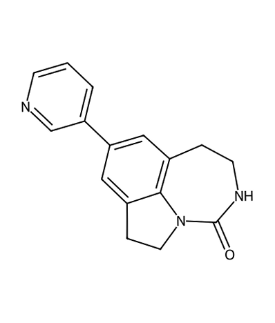 O=C1NCCc2cc(-c3cccnc3)cc3c2N1CC3